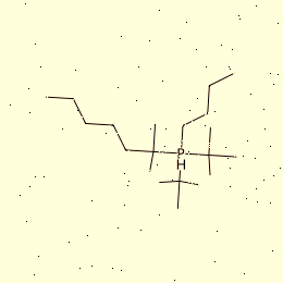 CCCCCC(C)(C)[PH](CCCC)(C(C)(C)C)C(C)(C)C